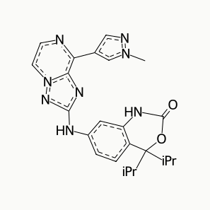 CC(C)C1(C(C)C)OC(=O)Nc2cc(Nc3nc4c(-c5cnn(C)c5)nccn4n3)ccc21